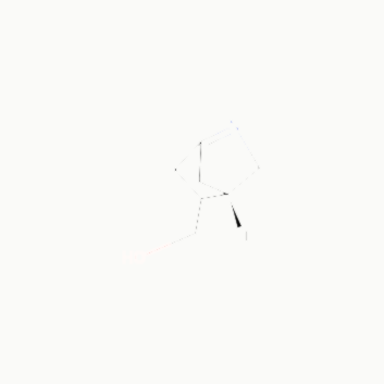 OCC1CC2=NC[C@H]1C2